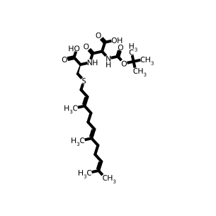 CC(C)=CCC/C(C)=C/CC/C(C)=C/CSC[C@H](NC(=O)C(NC(=O)OC(C)(C)C)C(=O)O)C(=O)O